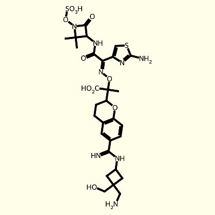 CC(ON=C(C(=O)NC1C(=O)N(OS(=O)(=O)O)C1(C)C)c1csc(N)n1)(C(=O)O)C1CCc2cc(C(=N)NC3CC(CN)(CO)C3)ccc2O1